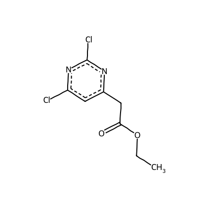 CCOC(=O)Cc1cc(Cl)nc(Cl)n1